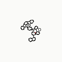 c1ccc2c(-c3ccc(N(c4ccc5c(c4)n4c6ccccc6c6ccc7c8ccccc8n5c7c64)c4cccc5oc6ccccc6c45)cc3)cccc2c1